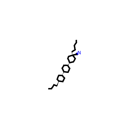 CCCCC[C@]1(C#N)CC[C@H](C2CCC([C@H]3CC[C@H](CCCC)CC3)CC2)CC1